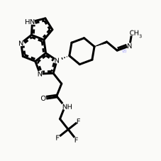 C/N=C\C[C@H]1CC[C@H](n2c(CC(=O)NCC(F)(F)F)nc3cnc4[nH]ccc4c32)CC1